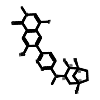 CN(c1ccc(-c2cc3c(F)cn(C)c(=O)c3cc2O)nn1)[C@@H]1C[C@H]2CC[C@H](C2)[C@@H]1F